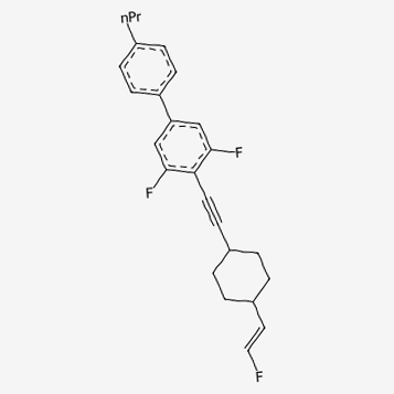 CCCc1ccc(-c2cc(F)c(C#CC3CCC(/C=C/F)CC3)c(F)c2)cc1